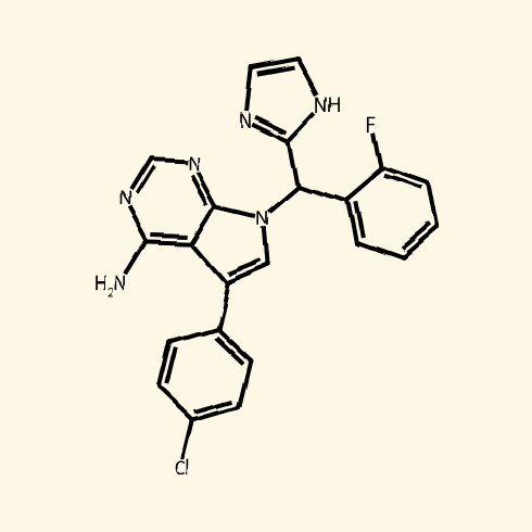 Nc1ncnc2c1c(-c1ccc(Cl)cc1)cn2C(c1ncc[nH]1)c1ccccc1F